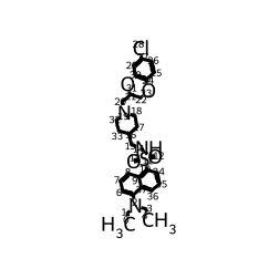 CCN(CC)c1cccc2c(S(=O)(=O)NCC3CCN(CC4COc5ccc(Cl)cc5O4)CC3)cccc12